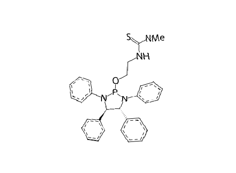 CNC(=S)NCCOP1N(c2ccccc2)[C@H](c2ccccc2)[C@@H](c2ccccc2)N1c1ccccc1